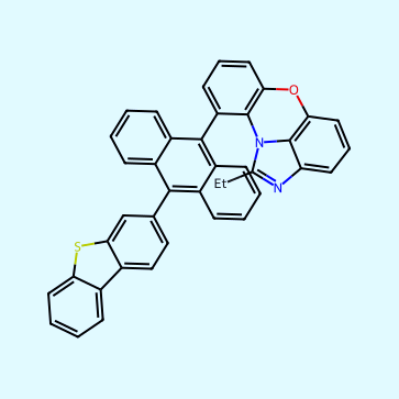 CCc1nc2cccc3c2n1-c1c(cccc1-c1c2ccccc2c(-c2ccc4c(c2)sc2ccccc24)c2ccccc12)O3